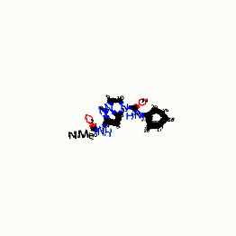 CNC(=O)Nc1cc2n(n1)CCN2C(=O)Nc1ccccc1